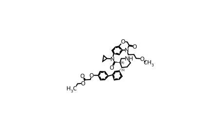 CCOC(=O)COc1ccc(-c2cccc([C@H]3CCNC[C@@H]3C(=O)N(c3ccc4c(c3)N(CCCOC)C(=O)CO4)C3CC3)c2)cc1